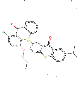 CCCOc1ccc(Cl)c2c1[SH](c1ccc3sc4ccc(C(C)C)cc4c(=O)c3c1)c1ccccc1C2=O